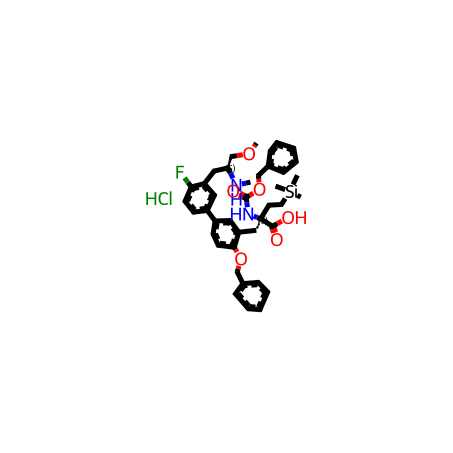 CN[C@H](COC)Cc1cc(-c2ccc(OCc3ccccc3)c(C[C@@](CC[Si](C)(C)C)(NC(=O)OCc3ccccc3)C(=O)O)c2)ccc1F.Cl